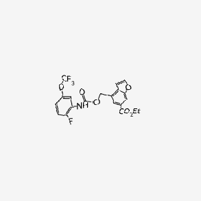 CCOC(=O)c1cc(COC(=O)Nc2cc(OC(F)(F)F)ccc2F)c2ccoc2c1